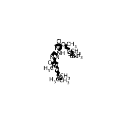 CC(CCO[Si](C)(C)C(C)(C)C)Oc1cc(Nc2ccnc(-c3cn(COCC[Si](C)(C)C)n(C)c3=O)n2)ncc1Cl